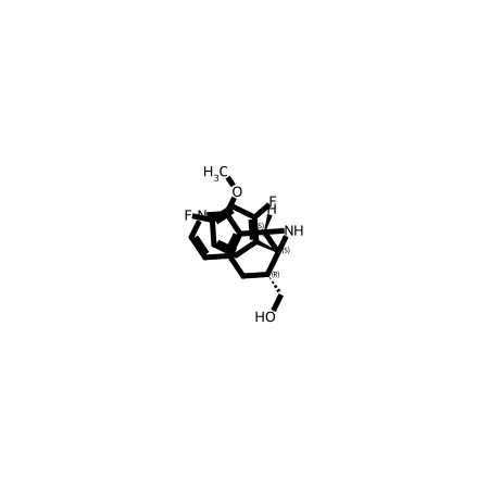 COc1nccc2c1[C@@H]1N[C@]1(c1ccc(F)cc1F)[C@H](CO)C2